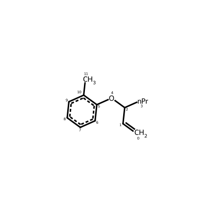 C=CC(CCC)Oc1ccccc1C